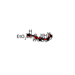 CCOC(=O)c1nc(NC(=O)CCCNC(=O)c2cc(NC(=O)c3nc(NC(=O)CCNC(=O)c4cc(NC(=O)c5nccn5C)cn4C)cn3C)cn2C)cn1C